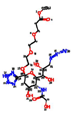 CC(C)(C)OC(=O)CCOCCOCCO[C@]1(c2nn[nH]n2)C[C@H](O)[C@@H](NC(=O)CO)[C@H]([C@H](O)[C@H](O)CN=[N+]=[N-])O1